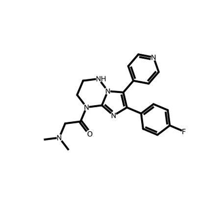 CN(C)CC(=O)N1CCNn2c1nc(-c1ccc(F)cc1)c2-c1ccncc1